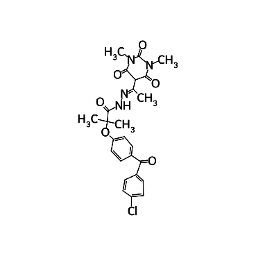 C/C(=N\NC(=O)C(C)(C)Oc1ccc(C(=O)c2ccc(Cl)cc2)cc1)C1C(=O)N(C)C(=O)N(C)C1=O